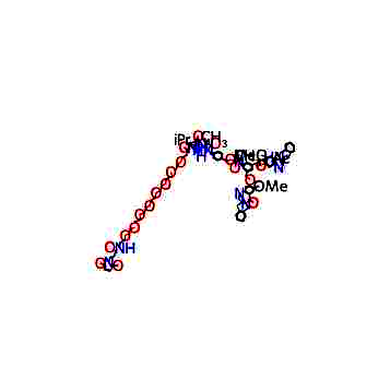 COc1cc2c(cc1OCc1cc(COc3cc(/N=C\C4Cc5ccccc5CN4)c(C(C)=O)cc3OC)cc(N(C)C(=O)OCc3ccc(NC(=O)[C@H](C)NC(=O)[C@@H](NC(=O)CCOCCOCCOCCOCCOCCOCCOCCOCCNC(=O)CCN4C(=O)C=CC4=O)C(C)C)cc3)c1)N=CC1Cc3ccccc3CN1C2=O